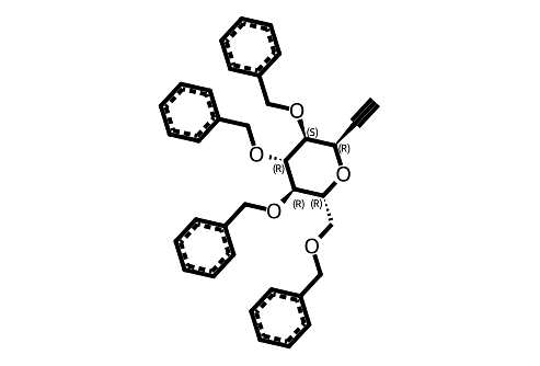 C#C[C@H]1O[C@H](COCc2ccccc2)[C@@H](OCc2ccccc2)[C@H](OCc2ccccc2)[C@H]1OCc1ccccc1